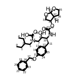 CCC(CC)CN(C[C@@H](O)[C@H](Cc1ccc(OCc2ccccc2)cc1)NC(=O)O[C@H]1CO[C@H]2OCC[C@H]21)C(=O)O